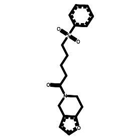 O=C(CCCCS(=O)(=O)c1ccccc1)N1CCc2occc2C1